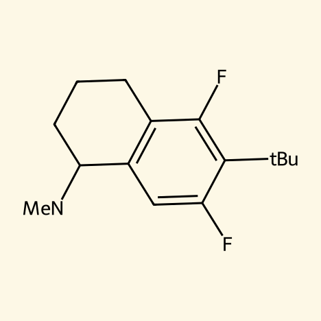 CNC1CCCc2c1cc(F)c(C(C)(C)C)c2F